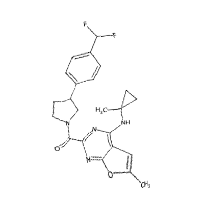 Cc1cc2c(NC3(C)CC3)nc(C(=O)N3CCC(c4ccc(C(F)F)cc4)C3)nc2o1